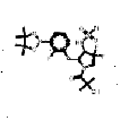 CCS(=O)(=O)N[C@@H]1[C@H](Cc2cccc(B3OC(C)(C)C(C)(C)O3)c2F)N(C(=O)C(C)(C)O)CC1(F)F